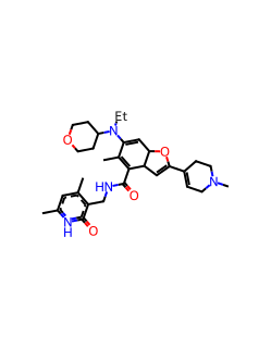 CCN(C1=CC2OC(C3=CCN(C)CC3)=CC2C(C(=O)NCc2c(C)cc(C)[nH]c2=O)=C1C)C1CCOCC1